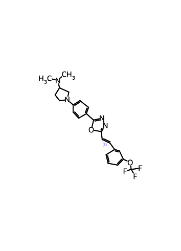 CN(C)C1CCN(c2ccc(-c3nnc(/C=C/c4cccc(OC(F)(F)F)c4)o3)cc2)C1